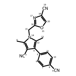 Cc1c(C#N)c(-c2ccc(C#N)cc2)c(C)n1Cc1nc(C#N)co1